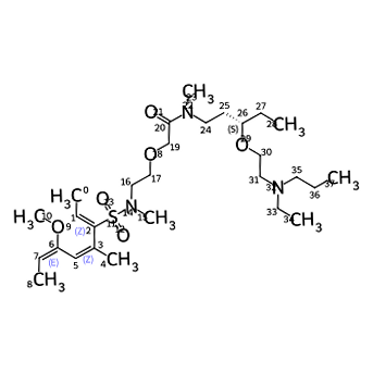 C/C=C(/C(C)=C\C(=C/C)OC)S(=O)(=O)N(C)CCOCC(=O)N(C)CC[C@H](CC)OCCN(CC)CCC